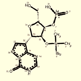 CC(C)(C)[Si](C)(C)O[C@@H]1[C@H](O[PH](=O)O)[C@@H](CO)O[C@H]1c1cnn2c(=O)[nH]cnc12